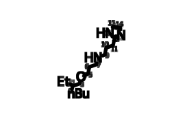 CCCCC(CC)COCCCNCCCc1ncc[nH]1